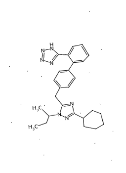 CCC(C)n1nc(C2CCCCC2)nc1Cc1ccc(-c2ccccc2-c2nnn[nH]2)cc1